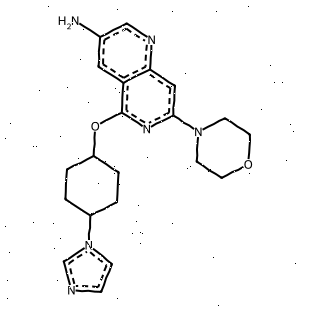 Nc1cnc2cc(N3CCOCC3)nc(OC3CCC(n4ccnc4)CC3)c2c1